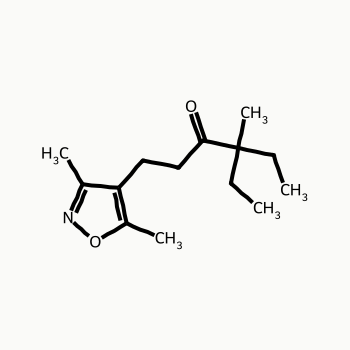 CCC(C)(CC)C(=O)CCc1c(C)noc1C